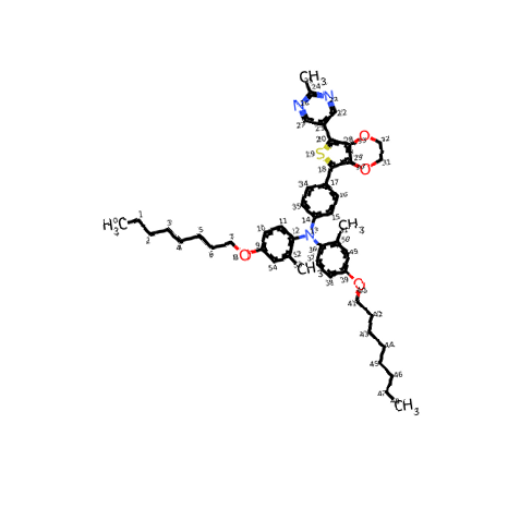 CCCCCCCCOc1ccc(N(c2ccc(-c3sc(-c4cnc(C)nc4)c4c3OCCO4)cc2)c2ccc(OCCCCCCCC)cc2C)c(C)c1